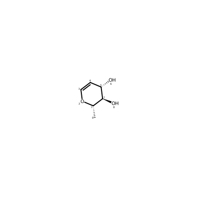 C[C@@H]1OC=C[C@H](O)[C@H]1O